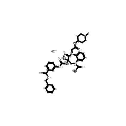 CN1CCC(NC(=O)CN2C(=O)C(N)(NC(=O)Nc3cccc(C(=O)OCc4ccccc4)c3)CN(C(=O)C(C)(C)C)c3ccccc32)CC1.Cl